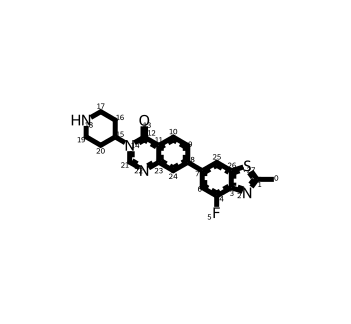 Cc1nc2c(F)cc(-c3ccc4c(=O)n(C5CCNCC5)cnc4c3)cc2s1